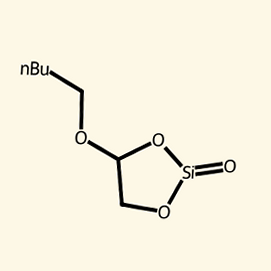 CCCCCOC1CO[Si](=O)O1